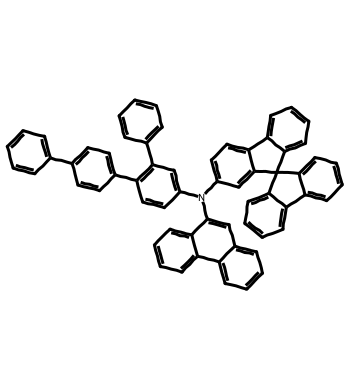 c1ccc(-c2ccc(-c3ccc(N(c4ccc5c(c4)C4(c6ccccc6-c6ccccc64)c4ccccc4-5)c4cc5ccccc5c5ccccc45)cc3-c3ccccc3)cc2)cc1